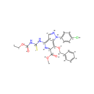 CCOC(=O)NC(=S)Nc1nc(C(=O)OC)c(OCc2ccccc2)c2c1cnn2-c1ccc(Cl)cc1